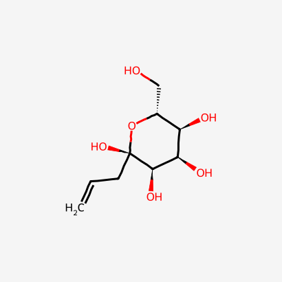 C=CC[C@]1(O)O[C@H](CO)[C@@H](O)[C@@H](O)[C@H]1O